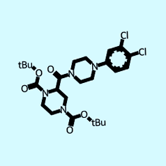 CC(C)(C)OC(=O)N1CCN(C(=O)OC(C)(C)C)C(C(=O)N2CCN(c3ccc(Cl)c(Cl)c3)CC2)C1